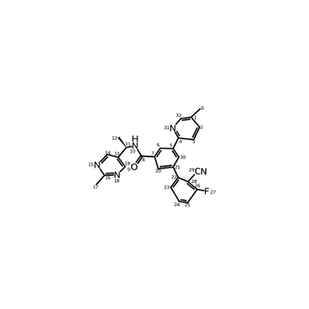 Cc1ccc(-c2cc(C(=O)N[C@H](C)c3cnc(C)nc3)cc(-c3cccc(F)c3C#N)c2)nc1